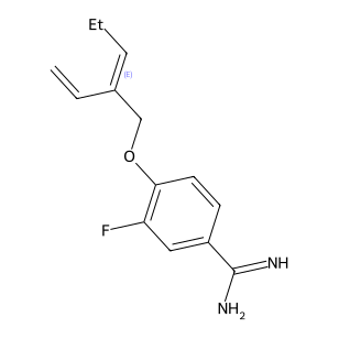 C=C/C(=C\CC)COc1ccc(C(=N)N)cc1F